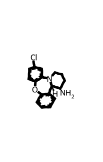 N[C@H]1CCCN2c3cc(Cl)ccc3Oc3ccccc3[C@@H]12